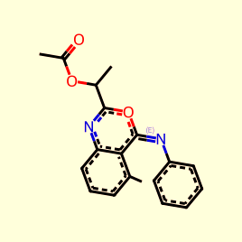 CC(=O)OC(C)c1nc2cccc(C)c2/c(=N\c2ccccc2)o1